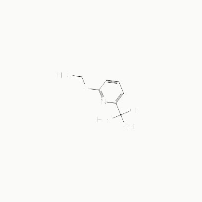 CCOc1cccc(C(C)(C)O)n1